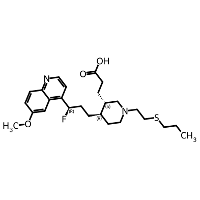 CCCSCCN1CC[C@@H](CC[C@@H](F)c2ccnc3ccc(OC)cc23)[C@H](CCC(=O)O)C1